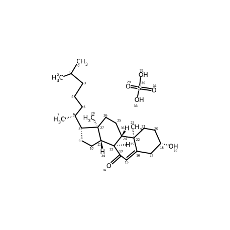 CC(C)CCC[C@@H](C)[C@H]1CC[C@H]2[C@@H]3C(=O)C=C4C[C@@H](O)CC[C@]4(C)[C@H]3CC[C@]12C.O=S(=O)(O)O